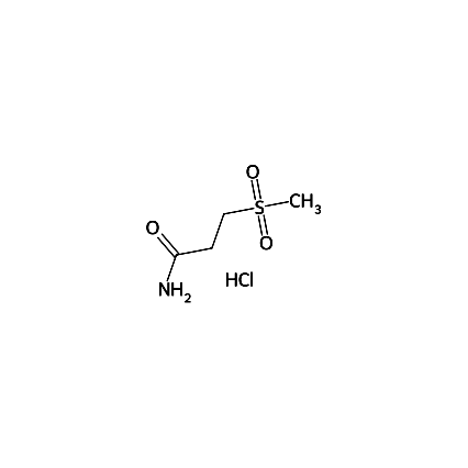 CS(=O)(=O)CCC(N)=O.Cl